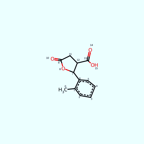 Cc1ccccc1C1OC(=O)CC1C(=O)O